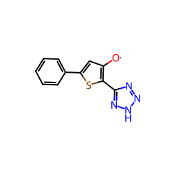 [O]c1cc(-c2ccccc2)sc1-c1nn[nH]n1